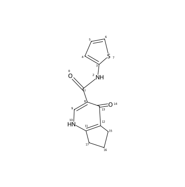 O=C(Nc1cccs1)c1c[nH]c2c(c1=O)CCC2